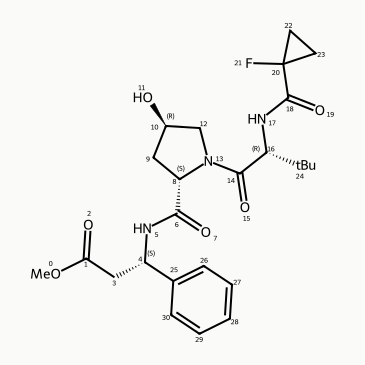 COC(=O)C[C@H](NC(=O)[C@@H]1C[C@@H](O)CN1C(=O)[C@H](NC(=O)C1(F)CC1)C(C)(C)C)c1ccccc1